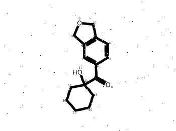 O=C(c1ccc2c(c1)COC2)C1(O)CCCCC1